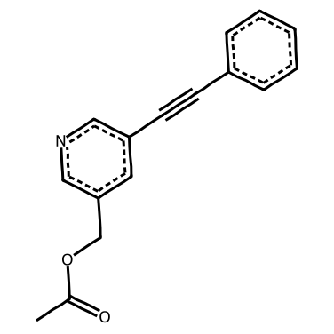 CC(=O)OCc1cncc(C#Cc2ccccc2)c1